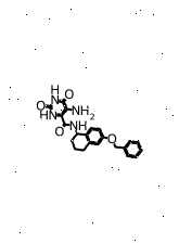 Nc1c(C(=O)N[C@@H]2CCCc3cc(OCc4ccccc4)ccc32)[nH]c(=O)[nH]c1=O